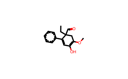 CCC1(C=O)CC(OC)=C(O)C=C1c1ccccc1